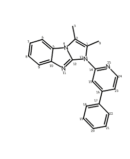 Cc1c(C)n2c3ccccc3nc2n1-c1cc(-c2ccccc2)ccn1